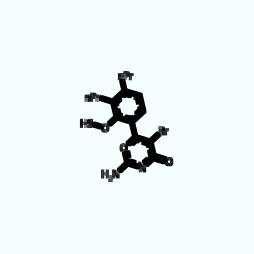 CCCc1ccc(-c2oc(N)nc(=O)c2Br)c(OS)c1CCC